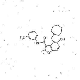 Cc1oc2ccc(O)c(CN3CCCCCC3)c2c1C(=O)Nc1cccc(C(F)(F)F)c1